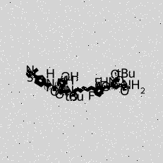 Cc1ncsc1-c1ccc([C@H](C)NC(=O)[C@@H]2C[C@@H](O)CN2C(=O)[C@@H](NC(=O)CCCCCc2c(F)ccc(OC[C@H](CCC(N)=O)NC(=O)OC(C)(C)C)c2F)C(C)(C)C)cc1